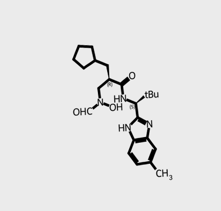 Cc1ccc2[nH]c([C@@H](NC(=O)[C@H](CC3CCCC3)CN(O)C=O)C(C)(C)C)nc2c1